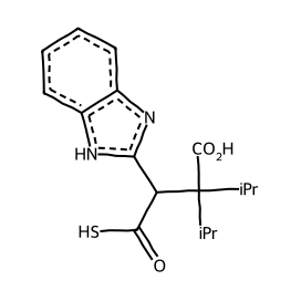 CC(C)C(C(=O)O)(C(C)C)C(C(=O)S)c1nc2ccccc2[nH]1